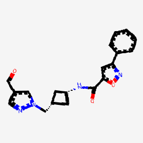 O=Cc1cnn(C[C@H]2C[C@@H](NC(=O)c3cc(-c4ccccc4)no3)C2)c1